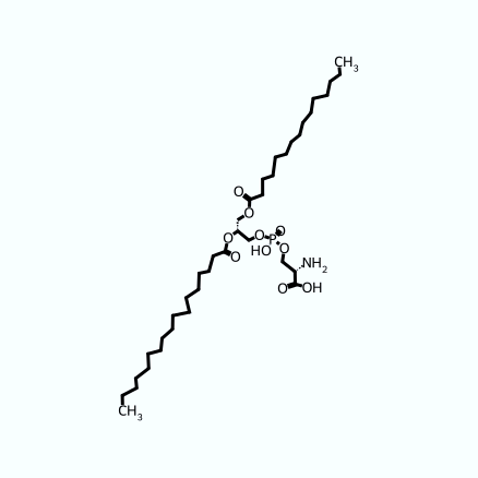 CCCCCCCCCCCCCCCCC(=O)O[C@H](COC(=O)CCCCCCCCCCCCCC)COP(=O)(O)OC[C@H](N)C(=O)O